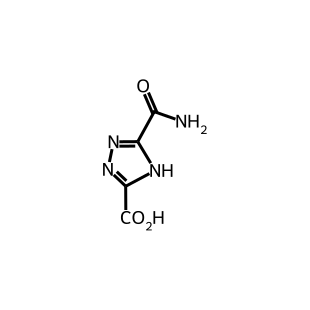 NC(=O)c1nnc(C(=O)O)[nH]1